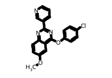 COc1ccc2nc(-c3cccnc3)nc(Oc3ccc(Cl)cc3)c2c1